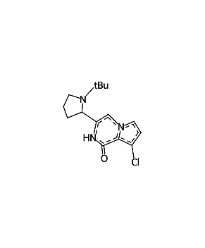 CC(C)(C)N1CCCC1c1cn2ccc(Cl)c2c(=O)[nH]1